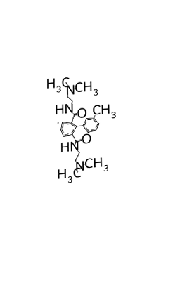 Cc1cccc(-c2c(C(=O)NCCN(C)C)[c]ccc2C(=O)NCCN(C)C)c1